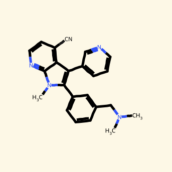 CN(C)Cc1cccc(-c2c(-c3cccnc3)c3c(C#N)ccnc3n2C)c1